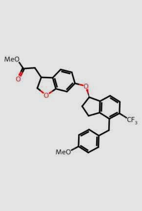 COC(=O)CC1COc2cc(O[C@@H]3CCc4c3ccc(C(F)(F)F)c4Cc3ccc(OC)cc3)ccc21